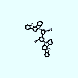 N#Cc1cc(-c2cc(C#N)cc(-n3c4ccccc4c4c5oc6ccccc6c5ccc43)c2)cc(-n2c3ccccc3c3c4oc5ccccc5c4ccc32)c1